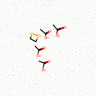 C1CPP1.CC(=O)O.CC(=O)O.CC(=O)O.CC(=O)O